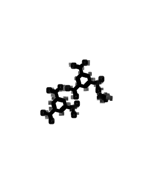 O=C([O-])c1cc(C(=O)[O-])cc([N+](=O)[O-])c1.O=C([O-])c1cc(C(=O)[O-])cc([N+](=O)[O-])c1.[Pb+2].[Zn+2]